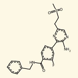 CS(=O)(=O)CCc1cnc(N)c(-c2ccc(C(=O)NCc3ccccc3)c(F)c2)n1